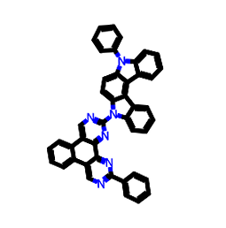 c1ccc(-c2ncc3c4ccccc4c4cnc(-n5c6ccccc6c6c7c8ccccc8n(-c8ccccc8)c7ccc65)nc4c3n2)cc1